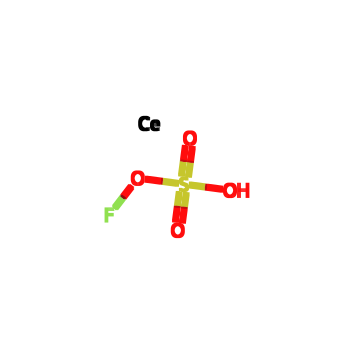 O=S(=O)(O)OF.[Ce]